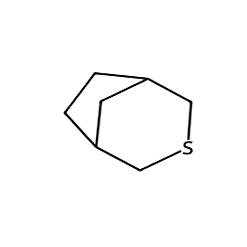 C1CC2CSCC1C2